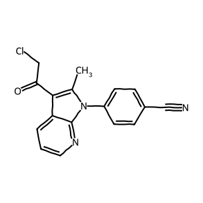 Cc1c(C(=O)CCl)c2cccnc2n1-c1ccc(C#N)cc1